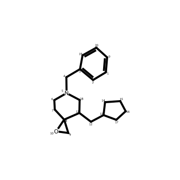 c1ccc(CN2CCC3(CO3)C(CC3CCCC3)C2)cc1